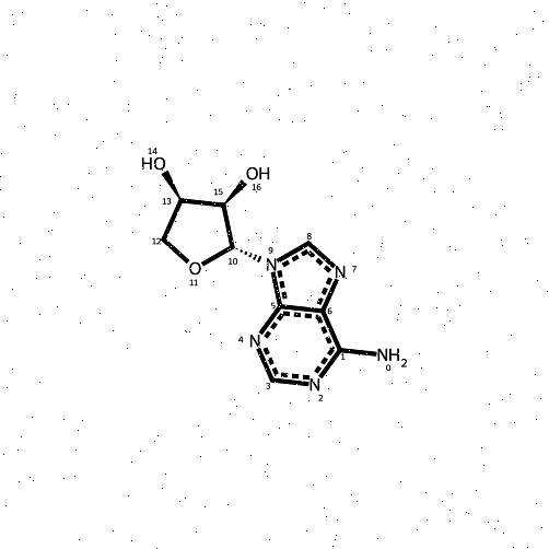 Nc1ncnc2c1ncn2[C@@H]1OC[C@@H](O)[C@H]1O